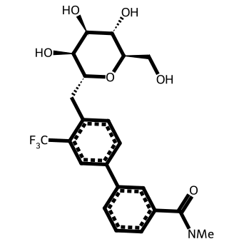 CNC(=O)c1cccc(-c2ccc(C[C@H]3O[C@H](CO)[C@@H](O)[C@H](O)[C@@H]3O)c(C(F)(F)F)c2)c1